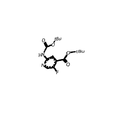 CC(C)(C)OC(=O)Nc1cc(C(=O)OC(C)(C)C)c(F)cn1